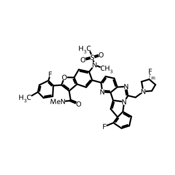 CNC(=O)c1c(-c2ccc(C)cc2F)oc2cc(N(C)S(C)(=O)=O)c(-c3ccc4nc(CN5CC[C@@H](F)C5)n5c6cccc(F)c6cc5c4n3)cc12